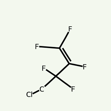 FC(F)=C(F)C(F)(F)CCl